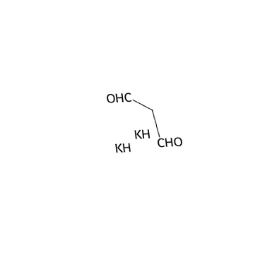 O=CCC=O.[KH].[KH]